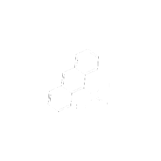 C[S+](C)(=O)c1c2ccccc2cc2ccccc12